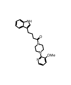 COc1cccnc1N1CCN(C(=O)CCCc2c[nH]c3ccccc23)CC1